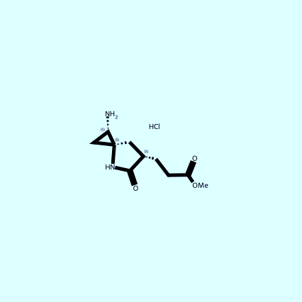 COC(=O)CC[C@H]1C[C@@]2(C[C@@H]2N)NC1=O.Cl